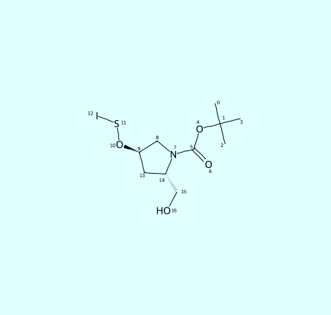 CC(C)(C)OC(=O)N1C[C@H](OSI)C[C@H]1CO